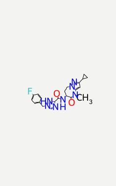 CN1C(=O)C(NC(=O)C2N=CN(Cc3ccc(F)cc3)N2)CCn2nc(C3CC3)cc21